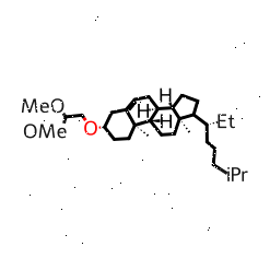 CC[C@H](CCCC(C)C)C1CC[C@H]2[C@@H]3CC=C4C[C@@H](OCC(OC)OC)CC[C@]4(C)[C@H]3CC[C@]12C